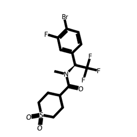 CN(C(=O)C1CCS(=O)(=O)CC1)[C@@H](c1ccc(Br)c(F)c1)C(F)(F)F